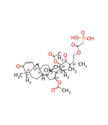 C=C(C(=O)[C@H](OC(C)=O)[C@@H](C)[C@H]1[C@@H](OC(C)=O)C[C@@]2(C)[C@@H]3CC[C@@]4(C)[C@H](C)C(=O)C=C[C@@]45C[C@@]35CC[C@]12C)[C@@H](C)COC(=O)CP(=O)(O)O